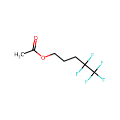 CC(=O)OCCCC(F)(F)C(F)(F)F